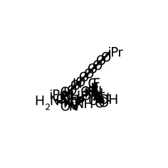 CC[C@@]1(O)C(=O)OCc2c1cc1n(c2=O)Cc2c-1nc1cc(F)c(C)c3c1c2[C@@H](NC(=O)OCc1ccc(NC(=O)[C@H]2CCCN2C(=O)CNC(=O)[C@@H](CCCCN)NC(=O)C(NC(=O)CCOCCOCCOCCOCCOCCOCCOCCOCCOCCC(C)C)C(C)C)cc1)CC3